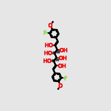 COc1ccc(C=C(O)[C@@H](O)[C@@H](O)[C@H](O)[C@@H](O)C(O)=Cc2ccc(OC)c(F)c2)cc1F